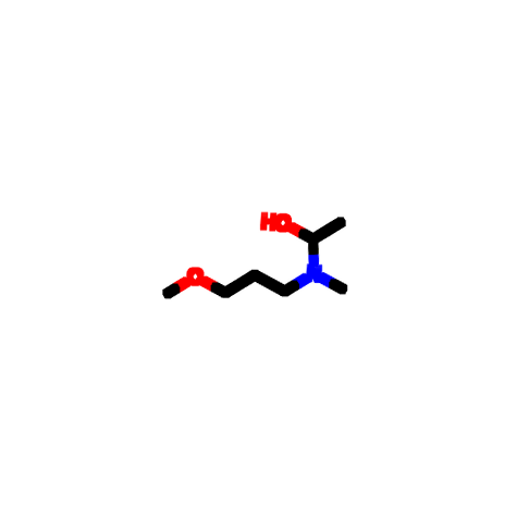 COCCCN(C)C(C)O